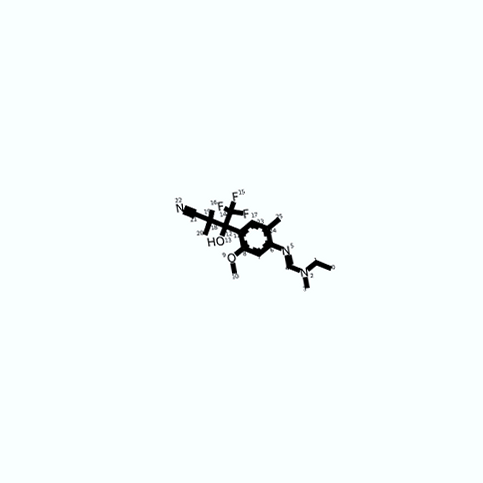 CCN(C)C=Nc1cc(OC)c(C(O)(C(F)(F)F)C(C)(C)C#N)cc1C